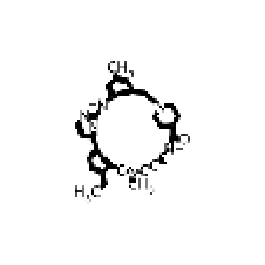 CCc1ccc2cc1CN(C)CCCNC(=O)C1CCN(CC1)Cc1cc(C)cc(c1)Nc1nccc-2n1